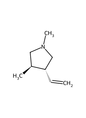 C=C[C@H]1CN(C)C[C@@H]1C